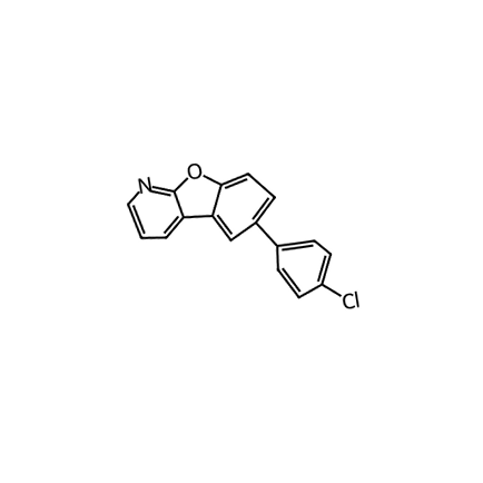 Clc1ccc(-c2ccc3oc4ncccc4c3c2)cc1